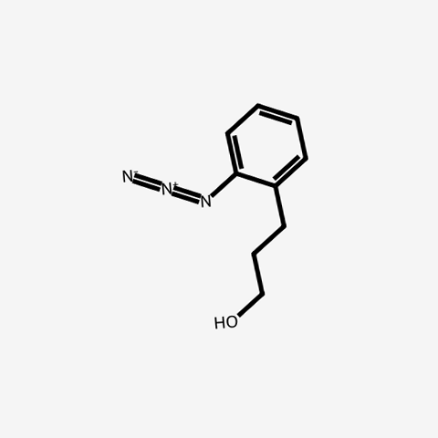 [N-]=[N+]=Nc1ccccc1CCCO